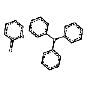 O=c1cccc[nH]1.c1ccc(B(c2ccccc2)c2ccccc2)cc1